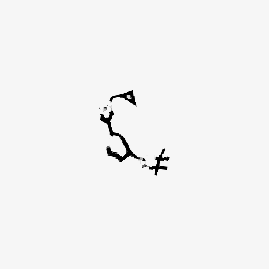 CC1(C)OB(C2=CC(c3cnn(CC4CC4)c3)OCC2)OC1(C)C